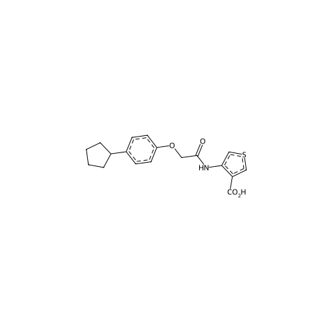 O=C(COc1ccc(C2CCCC2)cc1)Nc1cscc1C(=O)O